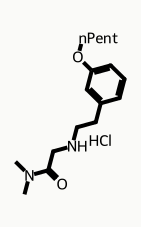 CCCCCOc1cccc(CCNCC(=O)N(C)C)c1.Cl